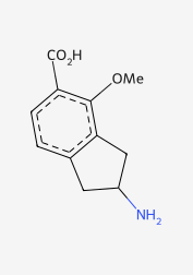 COc1c(C(=O)O)ccc2c1CC(N)C2